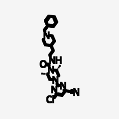 C[C@@H]1CN(c2nc(Cl)cc(C#N)n2)C[C@H](C)N1C(=O)NCCC1CCN(Cc2ccccc2)CC1